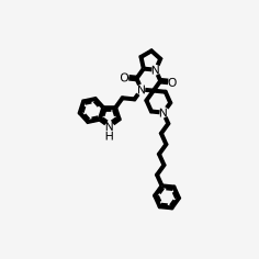 O=C1C2CCCN2C(=O)C2(CCN(CCCCCCc3ccccc3)CC2)N1CCc1c[nH]c2ccccc12